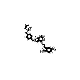 C=NN(/C=C\C)Cc1ccc(Cn2cc3c(NCc4n[nH]c5ccc(OC)cc45)ncnc3n2)cc1